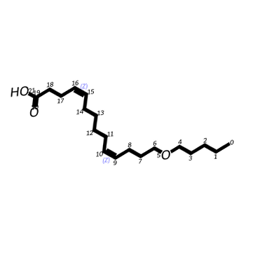 CCCCCOCCC/C=C\CCCC/C=C\CCC(=O)O